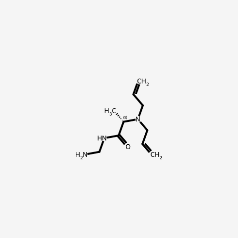 C=CCN(CC=C)[C@@H](C)C(=O)NCN